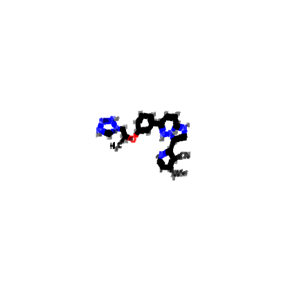 CNc1ccnc(-c2cnc3ccc(-c4cccc(O[C@@H](C)Cn5cnnn5)c4)nn23)c1C#N